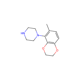 Cc1ccc2c(c1N1CCNCC1)OCCO2